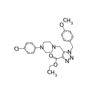 CCOC(=O)c1nnn(Cc2ccc(OC)cc2)c1CN1CCN(c2ccc(Cl)cc2)CC1